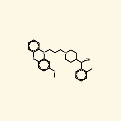 CSc1ccc2c(c1)N(CCCN1CCC(C(O)c3ccccc3F)CC1)c1ccccc1S2